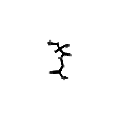 COC(=O)COC(=O)C(C)(CC(C)(C)C)C(C)(C)C